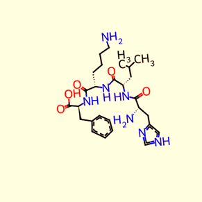 CC(C)C[C@H](NC(=O)[C@@H](N)Cc1c[nH]cn1)C(=O)N[C@@H](CCCCN)C(=O)N[C@@H](Cc1ccccc1)C(=O)O